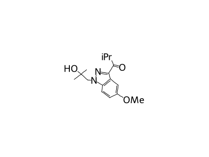 COc1ccc2c(c1)c(C(=O)C(C)C)nn2CC(C)(C)O